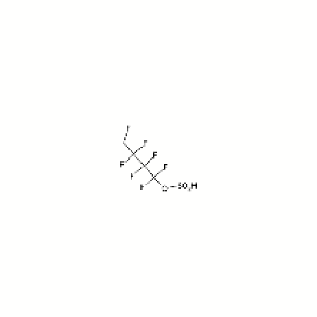 O=S(=O)(O)OC(F)(F)C(F)(F)C(F)(F)CF